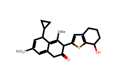 CCOC(=O)C1=CC(C2CC2)C2=C(OC)C(c3cc4c(s3)C(O)CCC4)C(=O)CC2=C1